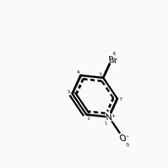 [O-][n+]1c#ccc(Br)c1